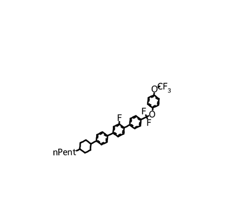 CCCCCC1CCC(c2ccc(-c3ccc(-c4ccc(C(F)(F)Oc5ccc(OC(F)(F)F)cc5)cc4)c(F)c3)cc2)CC1